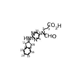 O=CN(CCC(=O)O)c1cnc(NC2Cc3ccccc3C2)nc1